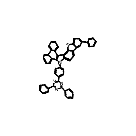 c1ccc(-c2ccc3sc4c(ccc5c4c4c6ccccc6c6ccccc6c4n5-c4ccc(-c5nc(-c6ccccc6)nc(-c6ccccc6)n5)cc4)c3c2)cc1